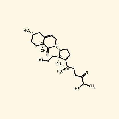 CC(S)C(=S)CC[C@@H](C)C1CCC([C@H]2CC=C3C[C@@H](O)CC[C@]3(C)C2=O)[C@]1(C)CCO